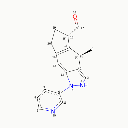 C[C@H]1C2=CNN(c3cccnc3)C2=CC2=C1[C@@H](C=O)CC2